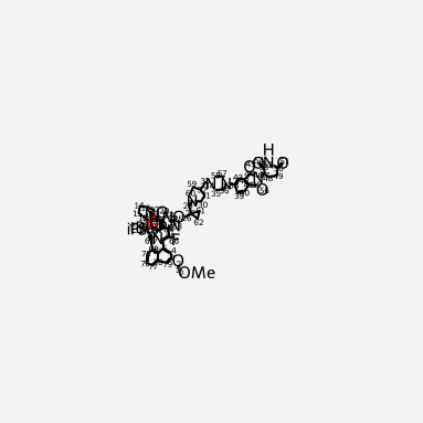 COCOc1cc(-c2ncc3c(N4CC5CCC(C4)N5C(=O)OC(C)(C)C)nc(OCC4(CN5CCC(CN6CCN(c7ccc8c(c7)C(=O)N(C7CCC(=O)NC7=O)C8=O)CC6)CC5)CC4)nc3c2F)c2c(C#C[Si](C(C)C)(C(C)C)C(C)C)cccc2c1